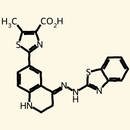 Cc1sc(-c2ccc3c(c2)/C(=N/Nc2nc4ccccc4s2)CCN3)nc1C(=O)O